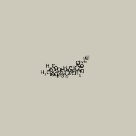 COC(=O)C(OC)C(O)(O)C(F)(F)Oc1ccc(C(C)(C)c2cc(Cl)c(OCCCCl)c(Cl)c2)cc1